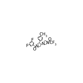 Cc1ccc(C2CN(C(=O)c3cc(F)cc(F)c3)CCC2N2CCN(C(=O)C(F)(F)F)CC2)cc1